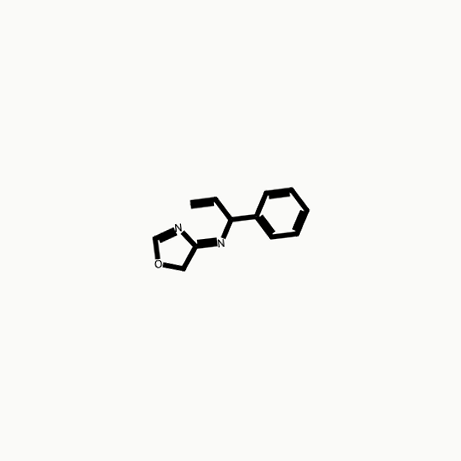 C=CC(/N=C1/COC=N1)c1ccccc1